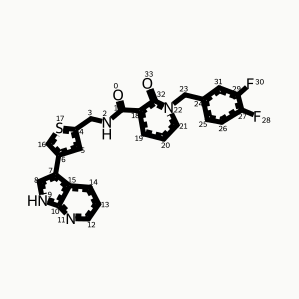 O=C(NCc1cc(-c2c[nH]c3ncccc23)cs1)c1cccn(Cc2ccc(F)c(F)c2)c1=O